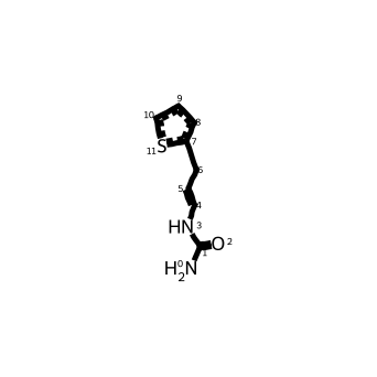 NC(=O)NC=CCc1cccs1